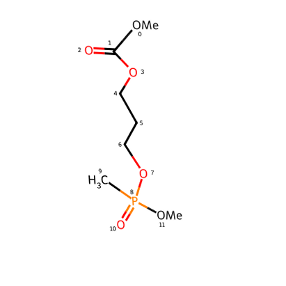 COC(=O)OCCCOP(C)(=O)OC